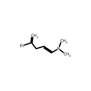 C=C(CC)C/C=C/N(C)C